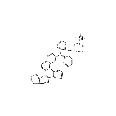 C[Si](C)(C)c1cccc(-c2c3ccccc3c(-c3ccc4cccc(-c5ccccc5-c5ccc6ccccc6c5)c4c3)c3ccccc23)c1